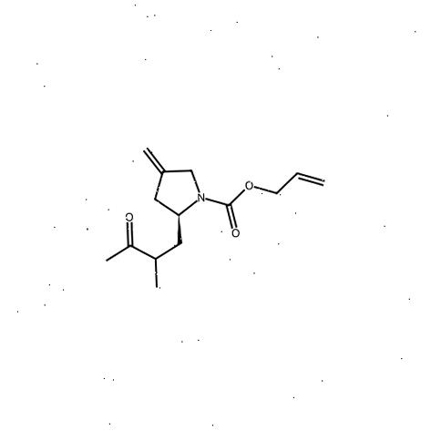 C=CCOC(=O)N1CC(=C)C[C@@H]1CC(C)C(C)=O